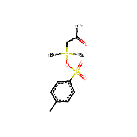 CCCCS(CCCC)(CC(=O)CCC)OS(=O)(=O)c1ccc(C)cc1